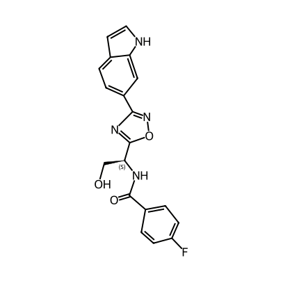 O=C(N[C@@H](CO)c1nc(-c2ccc3cc[nH]c3c2)no1)c1ccc(F)cc1